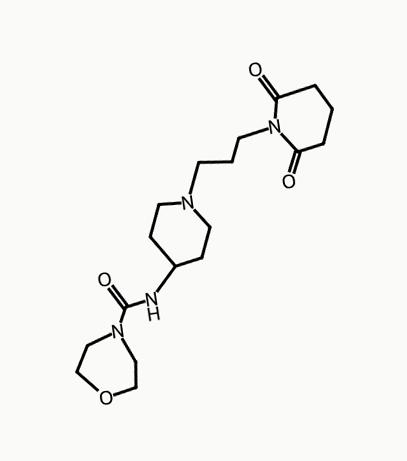 O=C(NC1CCN(CCCN2C(=O)CCCC2=O)CC1)N1CCOCC1